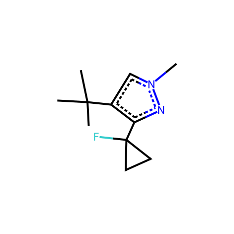 Cn1cc(C(C)(C)C)c(C2(F)CC2)n1